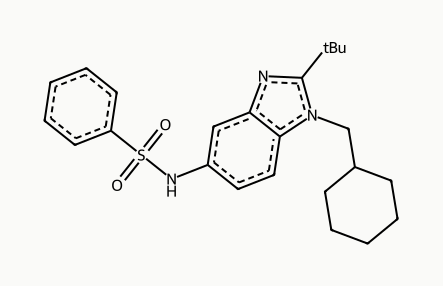 CC(C)(C)c1nc2cc(NS(=O)(=O)c3ccccc3)ccc2n1CC1CCCCC1